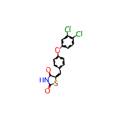 O=C1NC(=O)/C(=C\c2ccc(Oc3ccc(Cl)c(Cl)c3)cc2)S1